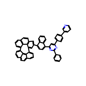 c1ccc(-c2nc(-c3ccc(-c4cccnc4)cc3)cc(-c3ccc(-c4cc5ccc6cccc7c8cccc9ccc%10cccc(c(c4)c5c67)c%10c98)c4ccccc34)n2)cc1